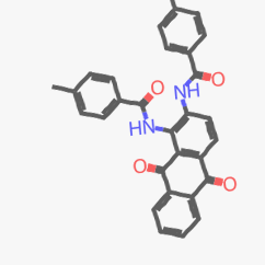 Cc1ccc(C(=O)Nc2ccc3c(c2NC(=O)c2ccc(C)cc2)C(=O)c2ccccc2C3=O)cc1